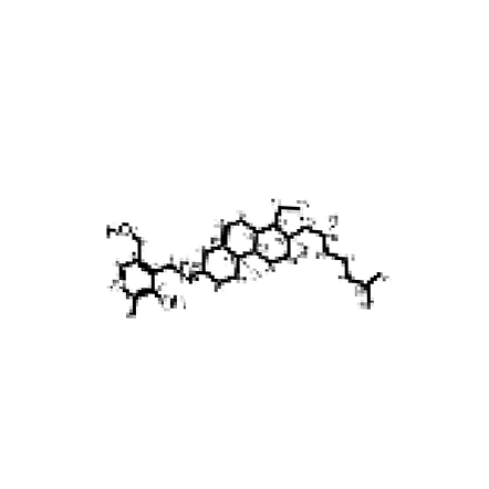 Cc1ncc(CO)c(CNC2CC[C@@]3(C)C(=CCC4C3CC[C@@]3(C)C4CC[C@@H]3[C@H](C)CCCC(C)C)C2)c1O